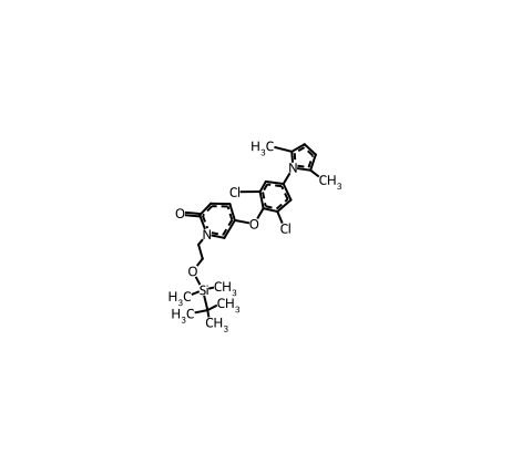 Cc1ccc(C)n1-c1cc(Cl)c(Oc2ccc(=O)n(CCO[Si](C)(C)C(C)(C)C)c2)c(Cl)c1